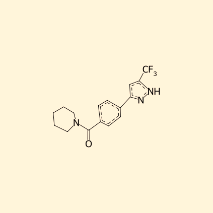 O=C(c1ccc(-c2cc(C(F)(F)F)[nH]n2)cc1)N1CCCCC1